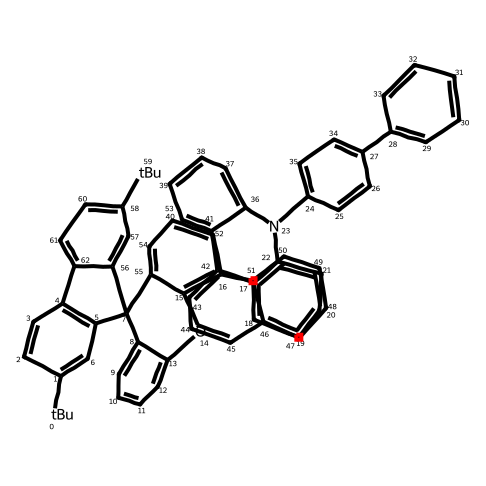 CC(C)(C)c1ccc2c(c1)C1(c3ccccc3Oc3c(-c4ccccc4N(c4ccc(-c5ccccc5)cc4)c4ccccc4-c4cccc5ccccc45)cccc31)c1cc(C(C)(C)C)ccc1-2